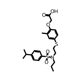 CCCN(CCSc1ccc(OCC(=O)O)c(C)c1)S(=O)(=O)c1ccc(C(C)C)cc1